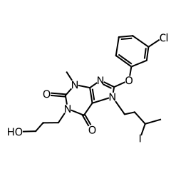 CC(I)CCn1c(Oc2cccc(Cl)c2)nc2c1c(=O)n(CCCO)c(=O)n2C